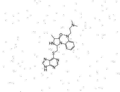 CC1NC(CSc2ncnc3[nH]cnc23)N(c2ccccc2N(C)CCN(C)C)C1=O